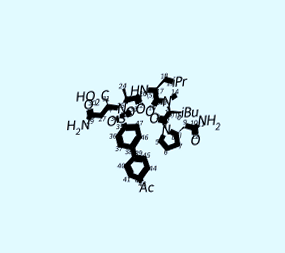 CC[C@H](C)[C@@H](C(=O)N1CCC[C@H]1CC(N)=O)N(C)C(=O)[C@H](CC(C)C)NC(=O)[C@H](C)N([C@H](CC(N)=O)C(=O)O)S(=O)(=O)c1ccc(-c2ccc(C(C)=O)cc2)cc1